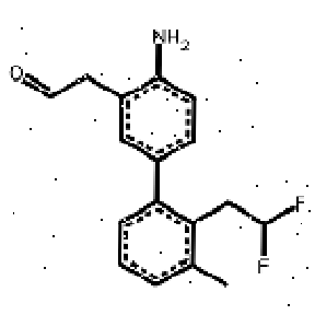 Cc1cccc(-c2ccc(N)c(CC=O)c2)c1CC(F)F